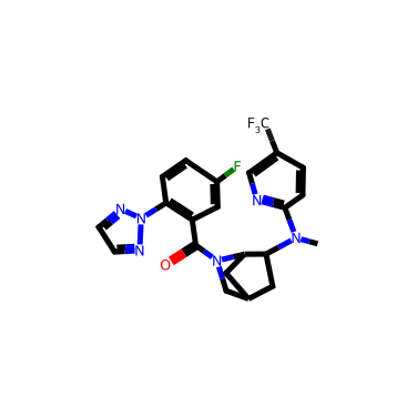 CN(c1ccc(C(F)(F)F)cn1)C1CC2CC1N(C(=O)c1cc(F)ccc1-n1nccn1)C2